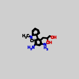 CN(C)c1ccccc1-c1cc(N)cc(N)c1CC(O)CO